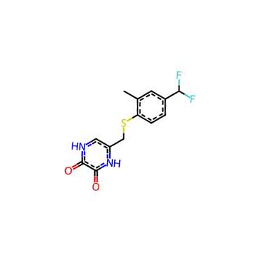 Cc1cc(C(F)F)ccc1SCc1c[nH]c(=O)c(=O)[nH]1